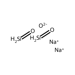 O=[SiH2].O=[SiH2].[Na+].[Na+].[O-2]